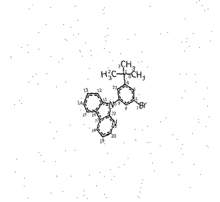 CC(C)(C)c1cc(Br)cc(-n2c3ccccc3c3cccnc32)c1